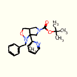 C[C@H](c1ccccc1)N1OCC2CN(C(=O)OC(C)(C)C)CC21c1ccccn1